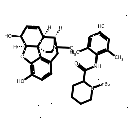 CCCCN1CCCCC1C(=O)Nc1c(C)cccc1C.CN1CC[C@]23c4c5ccc(O)c4O[C@H]2[C@@H](O)C=C[C@H]3[C@H]1C5.Cl